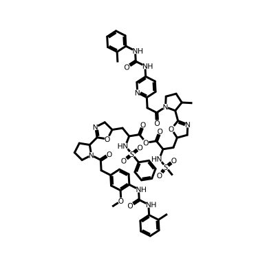 COc1cc(CC(=O)N2CCCC2C2=NCC(CC(NS(=O)(=O)c3ccccc3)C(=O)OC(=O)C(CC3CN=C(C4C(C)CCN4C(=O)Cc4ccc(NC(=O)Nc5ccccc5C)cn4)O3)NS(C)(=O)=O)O2)ccc1NC(=O)Nc1ccccc1C